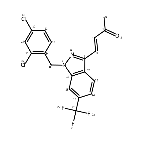 CC(=O)/C=C/c1nn(Cc2ccc(Cl)cc2Cl)c2cc(C(F)(F)F)ccc12